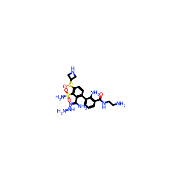 NCCNC(=O)c1cccc(-c2ccc([S+]([O-])C3CNC3)c(S(N)(=O)=O)c2/C(N)=N/NN)c1N